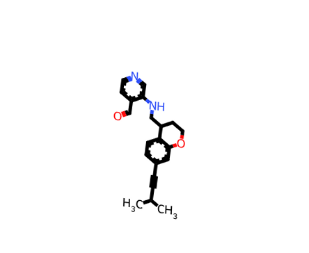 CC(C)C#Cc1ccc2c(c1)OCCC2CNc1cnccc1C=O